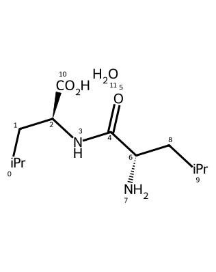 CC(C)C[C@H](NC(=O)[C@@H](N)CC(C)C)C(=O)O.O